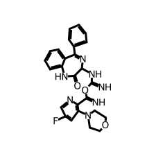 N=C(NC1N=C(c2ccccc2)c2ccccc2NC1=O)OC(=N)c1ncc(F)cc1N1CCOCC1